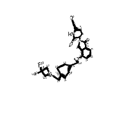 O=C1CCC(N2Cc3c(OCc4ccc(CN5CC(F)(F)C5)cc4)cccc3C2=O)C(=O)N1